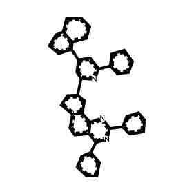 c1ccc(-c2cc(-c3cccc4ccccc34)cc(-c3ccc4ccc5c(-c6ccccc6)nc(-c6ccccc6)nc5c4c3)n2)cc1